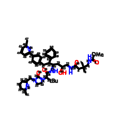 COC(=O)NCC(C)(C)CC(=O)NCC(O)CC(NC(=O)C(N1CCN(Cc2cccc(C)n2)C1=O)C(C)(C)C)C(Cc1ccc(-c2cccc(C)n2)cc1)c1ccccc1